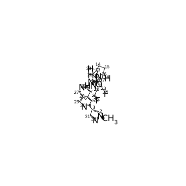 Cn1cc(-c2cc3cc(NC(=O)N4[C@@H]5CC[C@H]4C[C@H](NC(CF)CF)C5)ncc3cn2)cn1